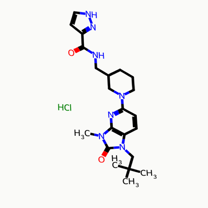 Cl.Cn1c(=O)n(CC(C)(C)C)c2ccc(N3CCCC(CNC(=O)c4cc[nH]n4)C3)nc21